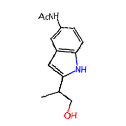 CC(=O)Nc1ccc2[nH]c(C(C)CO)cc2c1